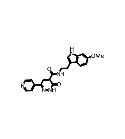 COc1ccc2c(CCNC(=O)c3cc(-c4ccncc4)n[nH]c3=O)c[nH]c2c1